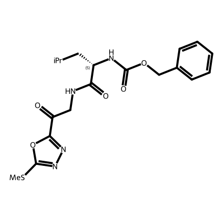 CSc1nnc(C(=O)CNC(=O)[C@H](CC(C)C)NC(=O)OCc2ccccc2)o1